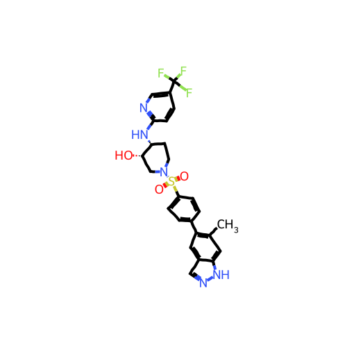 Cc1cc2[nH]ncc2cc1-c1ccc(S(=O)(=O)N2CC[C@@H](Nc3ccc(C(F)(F)F)cn3)[C@@H](O)C2)cc1